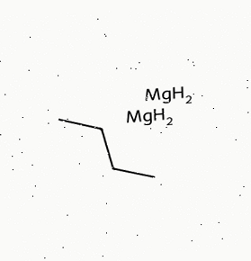 CCCC.[MgH2].[MgH2]